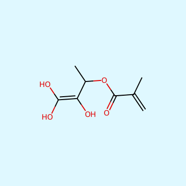 C=C(C)C(=O)OC(C)C(O)=C(O)O